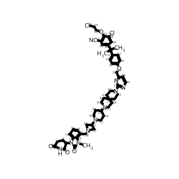 Cn1c(=O)n(C2CCC(=O)NC2=O)c2cccc(CN3CC(N4CCC(N5CCC6(CCN(c7nccc(COc8ccc(C(C)(C)c9cc(Cl)c(OCCCl)c(C#N)c9)cc8)n7)CC6)CC5)CC4)C3)c21